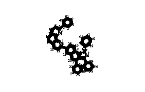 c1ccc(-c2ccc3ccc4ccc(-c5ccc6c(c5)cc(-c5ccccc5)c5c(-c7ccccc7)nn(-c7ccccc7)c56)nc4c3n2)cc1